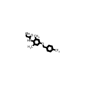 Cc1cc(OCc2ccc(C(F)(F)F)cc2)cc(C)c1NC(=O)CC(C)(C)C